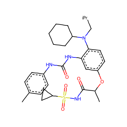 Cc1ccc(NC(=O)Nc2cc(OC(C)C(=O)NS(=O)(=O)C3CC3)ccc2N(CC(C)C)C2CCCCC2)cc1